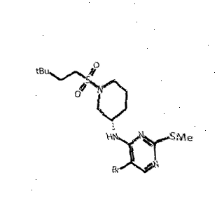 CSc1ncc(Br)c(N[C@H]2CCCN(S(=O)(=O)CCC(C)(C)C)C2)n1